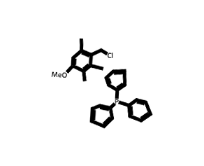 COc1cc(C)c(CCl)c(C)c1C.c1ccc(P(c2ccccc2)c2ccccc2)cc1